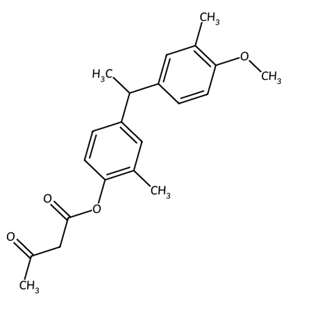 COc1ccc(C(C)c2ccc(OC(=O)CC(C)=O)c(C)c2)cc1C